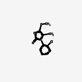 COc1oc(=O)n(-c2ccccc2Cl)c1C